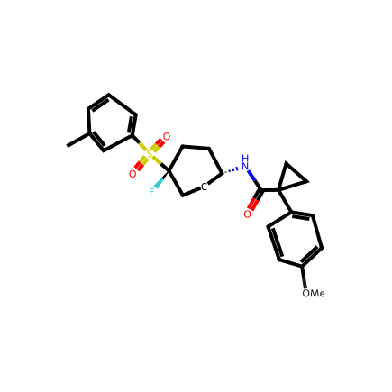 COc1ccc(C2(C(=O)N[C@H]3CC[C@@](F)(S(=O)(=O)c4cccc(C)c4)CC3)CC2)cc1